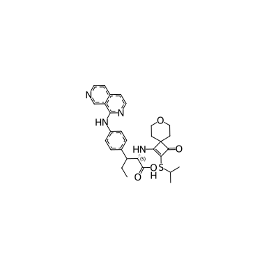 CCC(c1ccc(Nc2nccc3ccncc23)cc1)[C@H](NC1=C(SC(C)C)C(=O)C12CCOCC2)C(=O)O